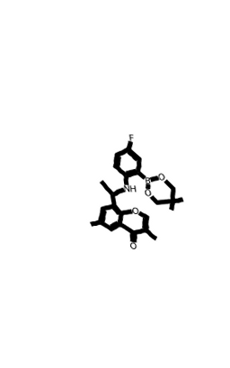 Cc1cc(C(C)Nc2ccc(F)cc2B2OCC(C)(C)CO2)c2occ(C)c(=O)c2c1